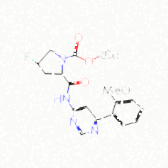 COc1ccccc1-c1cc(NC(=O)C2CC(F)CN2C(=O)OC(C)(C)C)ncn1